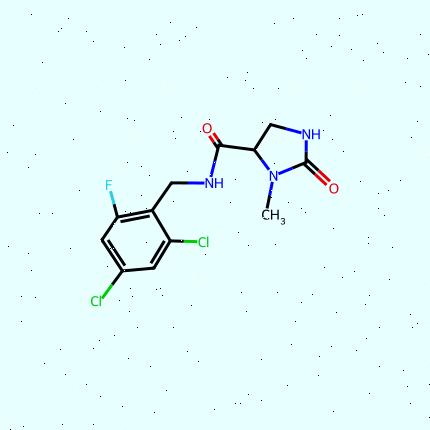 CN1C(=O)NCC1C(=O)NCc1c(F)cc(Cl)cc1Cl